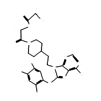 CC(C)[C@H](N)C(=O)O[C@@H](C)C(=O)N1CCC(CCn2c(Sc3cc(O)c(O)cc3Br)nc3c(N)ncnc32)CC1